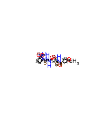 COc1ccc(C(=O)NC(S)C(C=O)CC(=O)NNC(=S)Nc2ccccc2[N+](=O)[O-])cc1